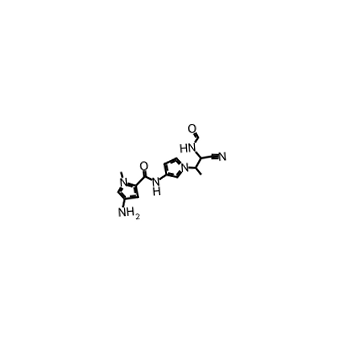 CC(C(C#N)NC=O)n1ccc(NC(=O)c2cc(N)cn2C)c1